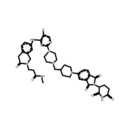 CNC(=O)CCN1Cc2cc(Nc3nc(N4CCN(CC5CCN(c6ccc7c(c6)C(=O)N(C6CCC(=O)NC6=O)C7=O)CC5)CC4)ncc3Cl)ccc2CC1=O